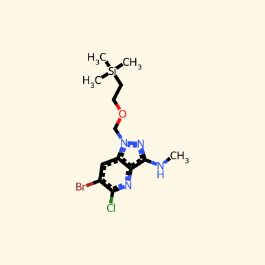 CNc1nn(COCC[Si](C)(C)C)c2cc(Br)c(Cl)nc12